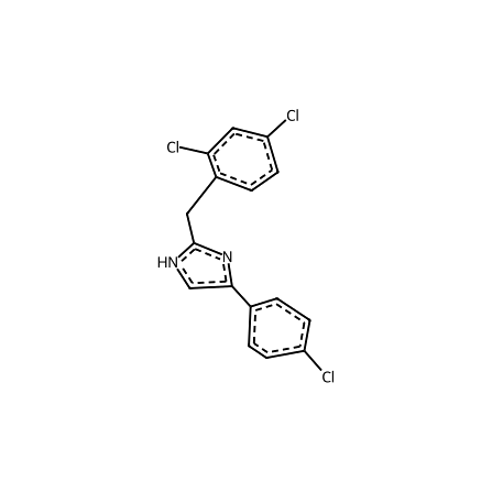 Clc1ccc(-c2c[nH]c(Cc3ccc(Cl)cc3Cl)n2)cc1